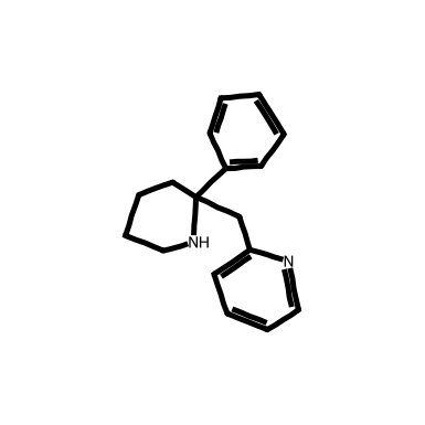 c1ccc(C2(Cc3ccccn3)CCCCN2)cc1